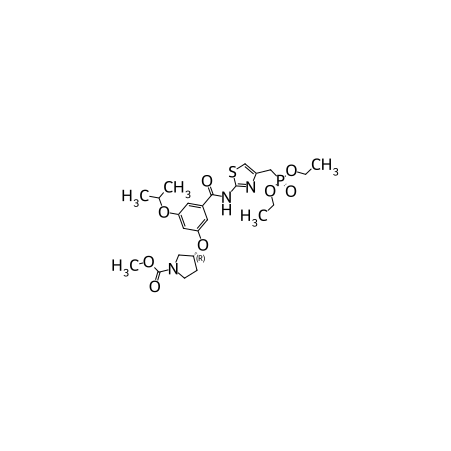 CCOP(=O)(Cc1csc(NC(=O)c2cc(OC(C)C)cc(O[C@@H]3CCN(C(=O)OC)C3)c2)n1)OCC